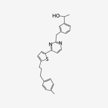 Cc1ccc(CCCc2ccc(-c3ccnc(Cc4cccc(C(C)O)c4)n3)s2)cc1